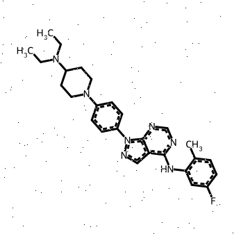 CCN(CC)C1CCN(c2ccc(-n3ncc4c(Nc5cc(F)ccc5C)ncnc43)cc2)CC1